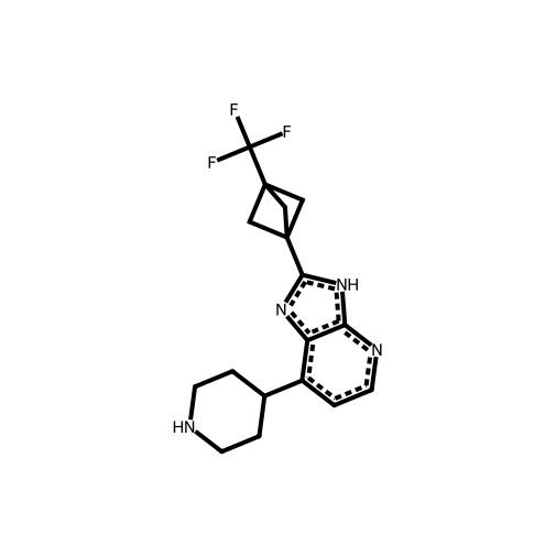 FC(F)(F)C12CC(c3nc4c(C5CCNCC5)ccnc4[nH]3)(C1)C2